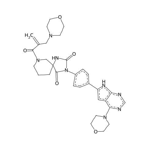 C=C(CN1CCOCC1)C(=O)N1CCCC2(C1)NC(=O)N(c1ccc(-c3cc4c(N5CCOCC5)ncnc4[nH]3)cc1)C2=O